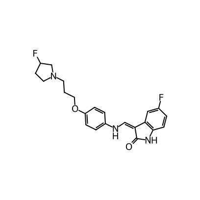 O=C1Nc2ccc(F)cc2C1=CNc1ccc(OCCCN2CCC(F)C2)cc1